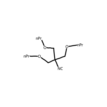 [C-]#[N+]C(COCCC)(COCCC)COCCC